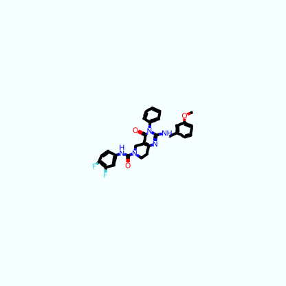 COc1cccc(CNc2nc3c(c(=O)n2-c2ccccc2)CN(C(=O)Nc2ccc(F)c(F)c2)CC3)c1